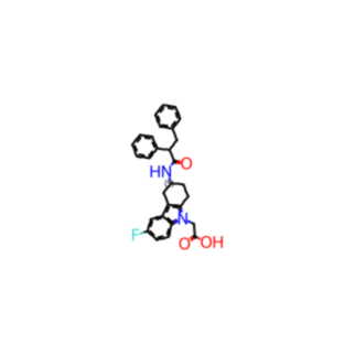 O=C(O)Cn1c2c(c3cc(F)ccc31)C[C@@H](NC(=O)C(Cc1ccccc1)c1ccccc1)CC2